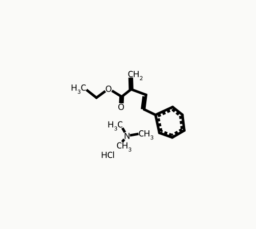 C=C(C=Cc1ccccc1)C(=O)OCC.CN(C)C.Cl